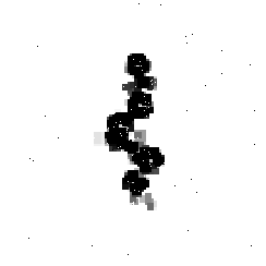 Cc1cn(-c2nccc3[nH]c(-c4n[nH]c5ccc(-c6cncc(NC(=O)C7CCCC7)c6)nc45)nc23)cn1